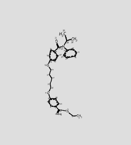 CCOC(=N)c1ccc(OCCCCCOc2ccc(C(=O)N(c3ccccc3)C(C)C)cc2)cc1